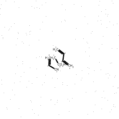 C=CC#N.C=CC=C.CC(=O)O